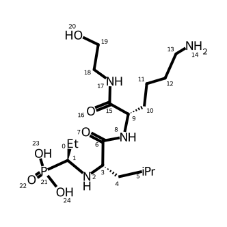 CC[C@@H](N[C@@H](CC(C)C)C(=O)N[C@@H](CCCCN)C(=O)NCCO)P(=O)(O)O